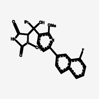 COc1nc(-c2ccc3cccc(F)c3c2)ccc1C(O)(C(C)C)C1C(=O)NC(=O)N1C